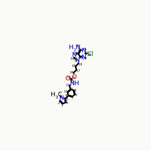 Cn1cccc1-c1cccc(CNC(=O)OCCCCn2cnc3c(N)nc(Cl)nc32)c1